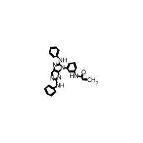 C=CC(=O)Nc1cccc(-n2c(Nc3ccccc3)nc3cnc(Nc4ccccc4)nc32)c1